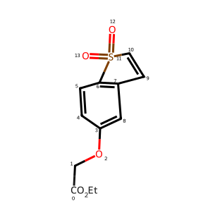 CCOC(=O)COc1ccc2c(c1)C=CS2(=O)=O